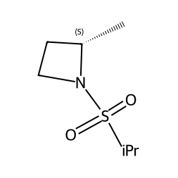 CC(C)S(=O)(=O)N1CC[C@@H]1C